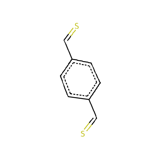 S=Cc1ccc(C=S)cc1